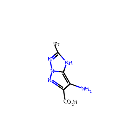 CC(C)c1nn2nc(C(=O)O)c(N)c2[nH]1